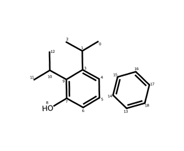 CC(C)c1cccc(O)c1C(C)C.c1ccccc1